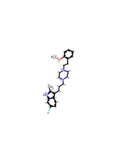 COc1ccccc1CCN1CCN(CCCc2c(C)[nH]c3cc(F)ccc23)CC1